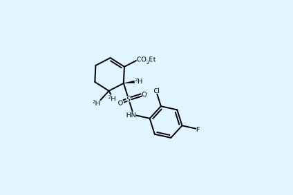 [2H]C1([2H])CCC=C(C(=O)OCC)[C@]1([2H])S(=O)(=O)Nc1ccc(F)cc1Cl